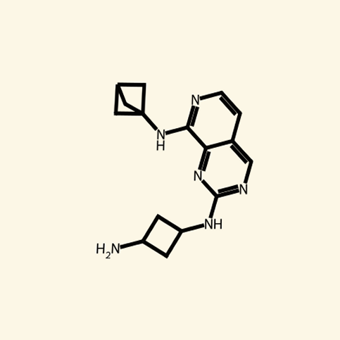 NC1CC(Nc2ncc3ccnc(NC45CC(C4)C5)c3n2)C1